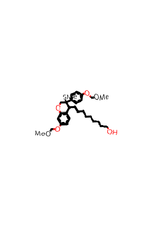 COCOc1ccc(C2(SC)COc3cc(OCOC)ccc3C2CCCCCCCCCO)cc1